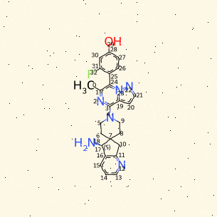 Cc1nc(N2CCC3(CC2)Cc2ncccc2[C@H]3N)c2ccnn2c1-c1ccc(O)cc1F